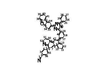 N#Cc1ccc(-c2cc3c4ccccc4c(-c4cccc(-c5nc(-c6ccccc6)nc(-c6ccc7oc8ccccc8c7c6)n5)c4)cc3c3cccnc23)cc1